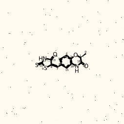 C[C@@H]1Oc2ccc(C=C3SC(=S)NC3=O)cc2NC1=O